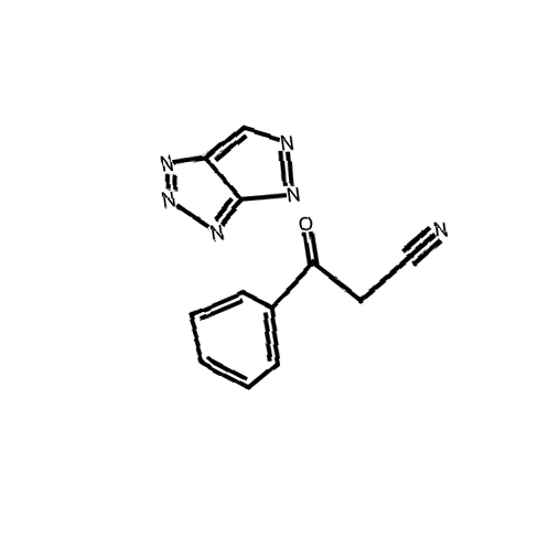 C1=C2N=NN=C2N=N1.N#CCC(=O)c1ccccc1